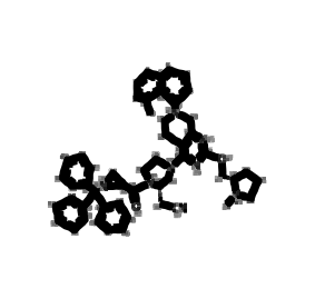 Cc1cccc2cccc(N3CCc4c(nc(OC[C@@H]5CCCN5C)nc4N4CCN(C(=O)C5C[N@@]5C(c5ccccc5)(c5ccccc5)c5ccccc5)[C@@H](CC#N)C4)C3)c12